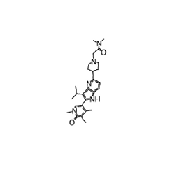 Cc1c(-c2[nH]c3ccc(C4CCN(CC(=O)N(C)C)CC4)nc3c2C(C)C)cn(C)c(=O)c1C